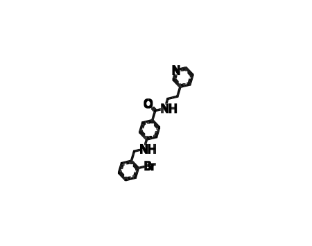 O=C(NCCc1cccnc1)c1ccc(NCc2ccccc2Br)cc1